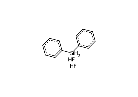 F.F.c1ccc([SiH2]c2ccccc2)cc1